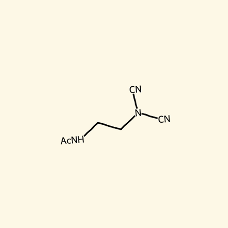 CC(=O)NCCN(C#N)C#N